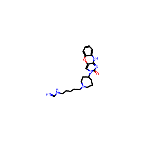 N=CNCCCCCN1CCCC(n2cc3c(nc2=O)Nc2ccccc2O3)CC1